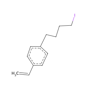 C=Cc1ccc(CCCCI)cc1